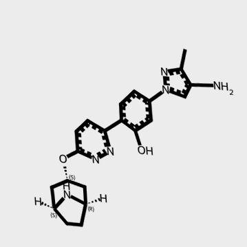 Cc1nn(-c2ccc(-c3ccc(O[C@@H]4C[C@H]5CC[C@@H](C4)N5)nn3)c(O)c2)cc1N